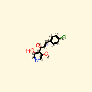 COc1cncc(O)c1C(=O)/C=C/c1ccc(Cl)cc1